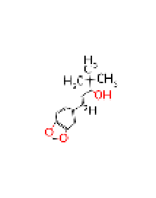 [2H]/C(=C\C(O)C(C)(C)C)c1ccc2c(c1)OCO2